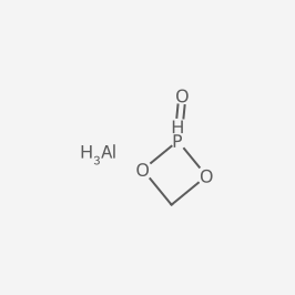 O=[PH]1OCO1.[AlH3]